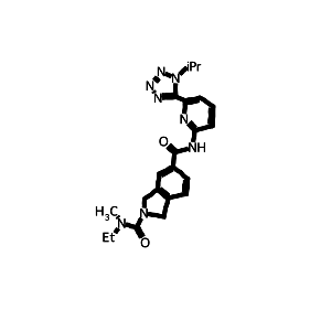 CCN(C)C(=O)N1Cc2ccc(C(=O)Nc3cccc(-c4nnnn4C(C)C)n3)cc2C1